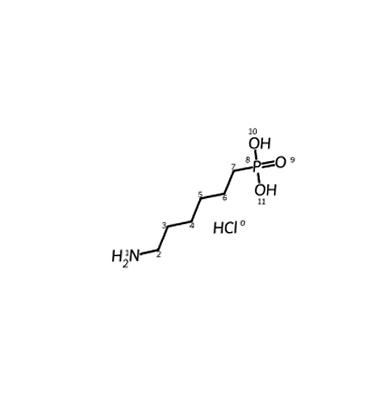 Cl.NCCCCCCP(=O)(O)O